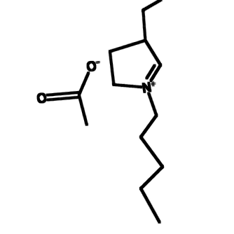 CC(=O)[O-].CCCCC[N+]1=CC(CC)CC1